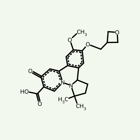 COc1cc2c(cc1OCC1COC1)C1CCC(C)(C)N1n1cc(C(=O)O)c(=O)cc1-2